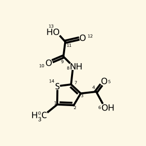 Cc1cc(C(=O)O)c(NC(=O)C(=O)O)s1